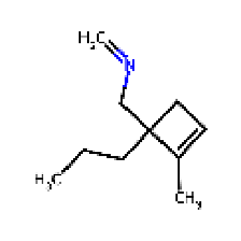 C=NCC1(CCC)CC=C1C